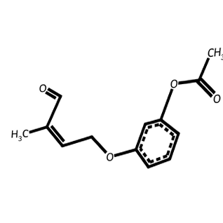 CC(=O)Oc1cccc(OCC=C(C)C=O)c1